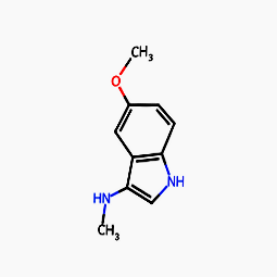 CNc1c[nH]c2ccc(OC)cc12